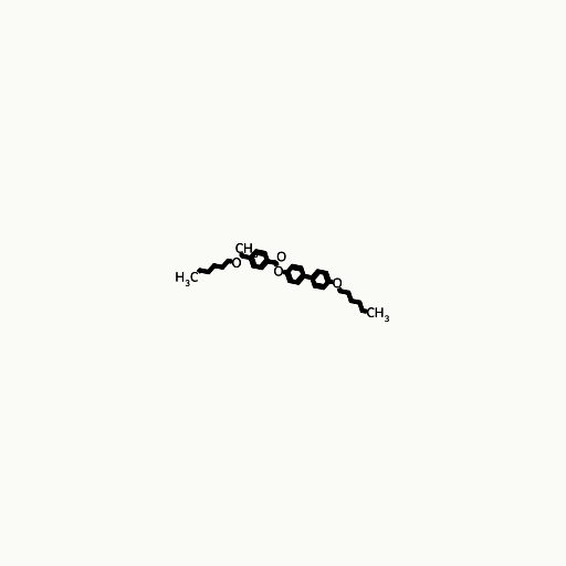 CCCCCCOc1ccc(-c2ccc(OC(=O)c3ccc(C(C)OCCCCCC)cc3)cc2)cc1